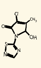 CC1=C(Cl)C(=O)N(c2ncns2)C1O